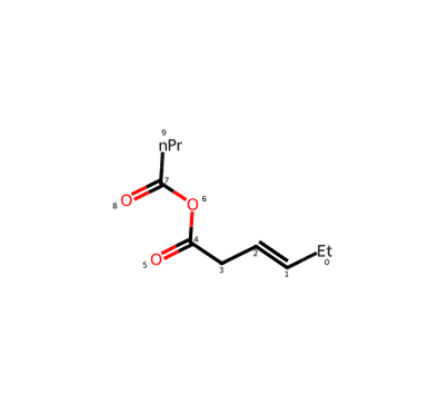 CCC=CCC(=O)OC(=O)CCC